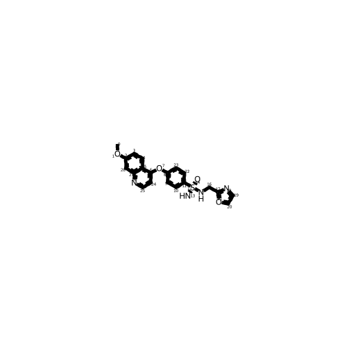 COc1ccc2c(Oc3ccc(S(=N)(=O)NCc4ncco4)cc3)ccnc2c1